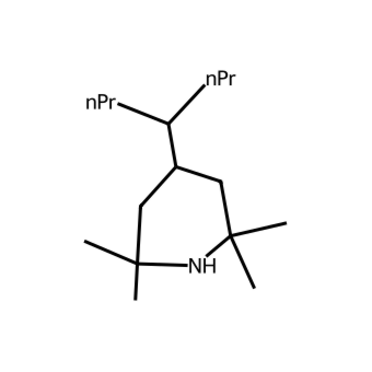 CCCC(CCC)C1CC(C)(C)NC(C)(C)C1